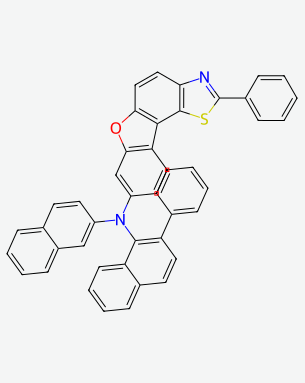 c1ccc(-c2nc3ccc4oc5cc(N(c6ccc7ccccc7c6)c6c(-c7ccccc7)ccc7ccccc67)ccc5c4c3s2)cc1